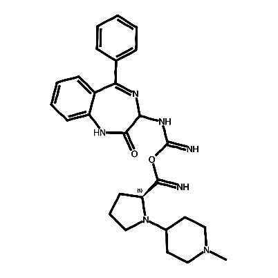 CN1CCC(N2CCC[C@H]2C(=N)OC(=N)NC2N=C(c3ccccc3)c3ccccc3NC2=O)CC1